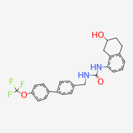 O=C(NCc1ccc(-c2ccc(OC(F)(F)F)cc2)cc1)Nc1cccc2c1CC(O)CC2